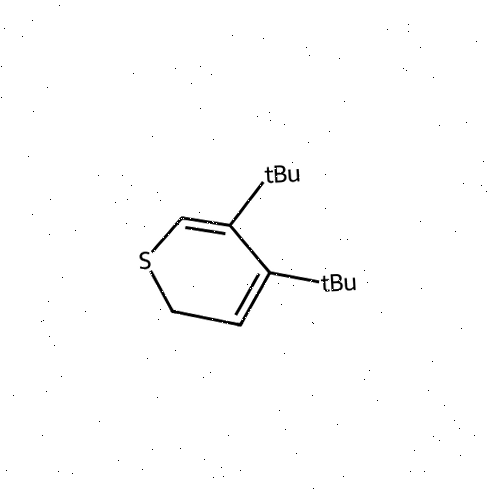 CC(C)(C)C1=CCSC=C1C(C)(C)C